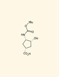 CC(C)(C)OC(=O)N[C@H]1C[C@@H](C(=O)O)C[C@H]1O